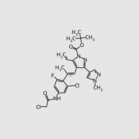 C=Cc1c(/C=C(\C)c2c(F)cc(NC(=O)CCl)cc2Cl)c(-c2cnn(C)c2)nn1C(=O)OC(C)(C)C